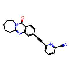 N#Cc1cccc(C#Cc2ccc3c(=O)n4c(nc3c2)CCCCC4)n1